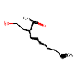 C=CCCCCC(CCO)C(C)=O